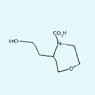 O=C(O)N1CCOCC1CCO